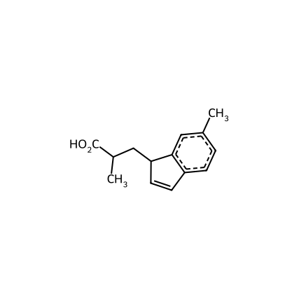 Cc1ccc2c(c1)C(CC(C)C(=O)O)C=C2